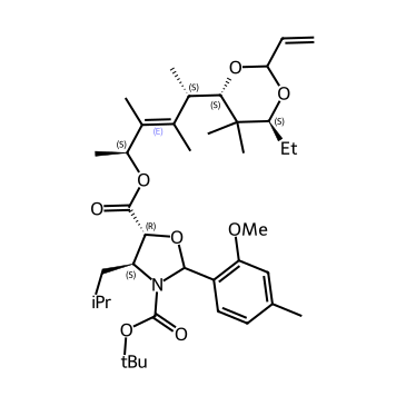 C=CC1O[C@@H](CC)C(C)(C)[C@H]([C@@H](C)/C(C)=C(\C)[C@H](C)OC(=O)[C@@H]2OC(c3ccc(C)cc3OC)N(C(=O)OC(C)(C)C)[C@H]2CC(C)C)O1